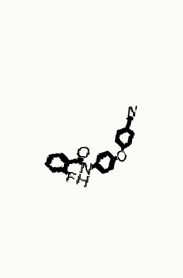 N#Cc1ccc(Oc2ccc(NC(=O)c3ccccc3F)cc2)cc1